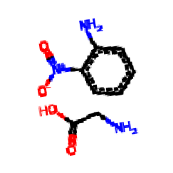 NCC(=O)O.Nc1ccccc1[N+](=O)[O-]